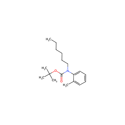 CCCCCCN(C(=O)OC(C)(C)C)c1ccccc1C